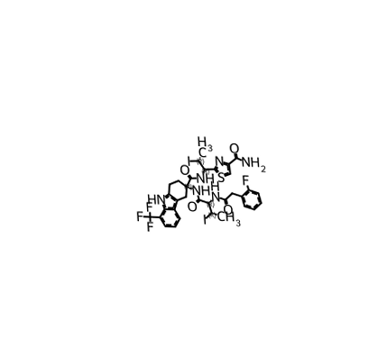 C[C@@H](I)[C@H](NC(=O)Cc1ccccc1F)C(=O)N[C@]1(C(=O)N[C@H](c2nc(C(N)=O)cs2)[C@@H](C)I)CCc2[nH]c3c(C(F)(F)F)cccc3c2C1